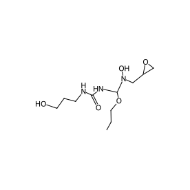 CCCOC(NC(=O)NCCCO)N(O)CC1CO1